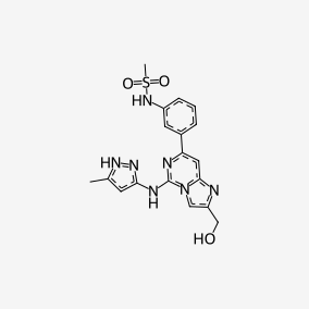 Cc1cc(Nc2nc(-c3cccc(NS(C)(=O)=O)c3)cc3nc(CO)cn23)n[nH]1